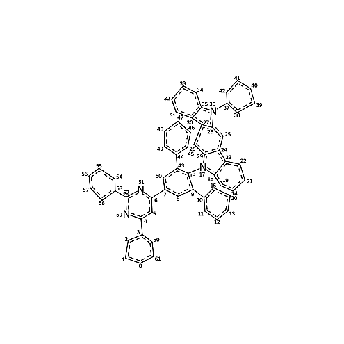 c1ccc(-c2cc(-c3cc(-c4ccccc4)c(-n4c5ccccc5c5cc6c(cc54)c4ccccc4n6-c4ccccc4)c(-c4ccccc4)c3)nc(-c3ccccc3)n2)cc1